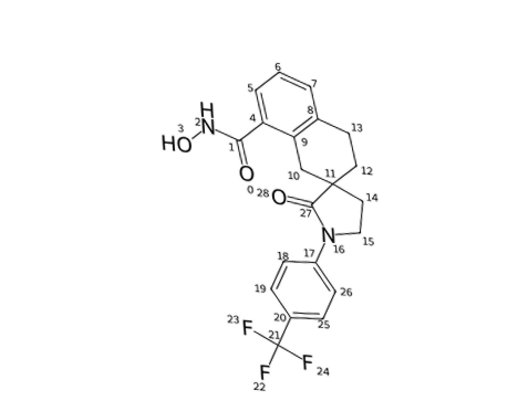 O=C(NO)c1cccc2c1CC1(CC2)CCN(c2ccc(C(F)(F)F)cc2)C1=O